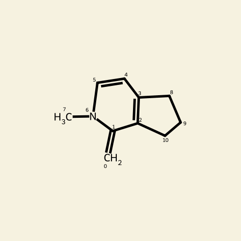 C=C1C2=C(C=CN1C)CCC2